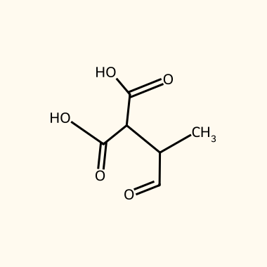 CC(C=O)C(C(=O)O)C(=O)O